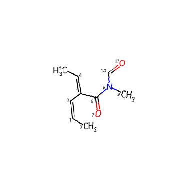 C/C=C\C(=C/C)C(=O)N(C)C=O